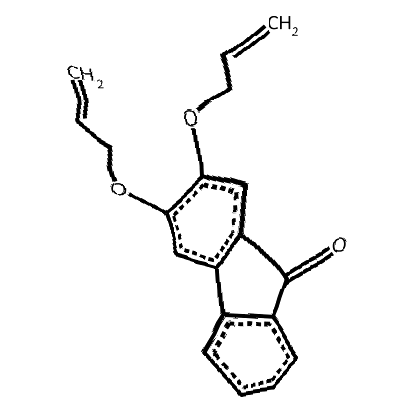 C=CCOc1cc2c(cc1OCC=C)-c1ccccc1C2=O